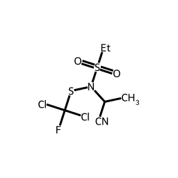 CCS(=O)(=O)N(SC(F)(Cl)Cl)C(C)C#N